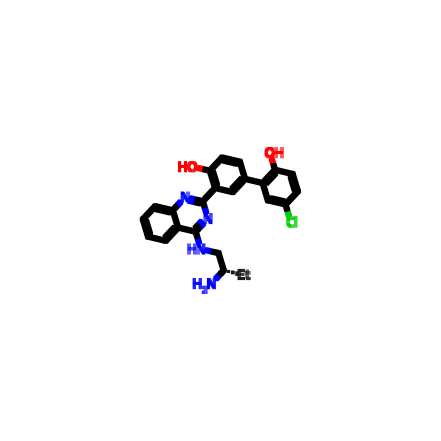 CC[C@H](N)CNc1nc(-c2cc(-c3cc(Cl)ccc3O)ccc2O)nc2ccccc12